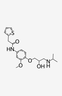 COc1cc(NC(=O)Cc2cccs2)ccc1OCC(O)CNC(C)C